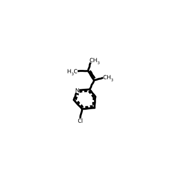 CC(C)=C(C)c1ccc(Cl)cn1